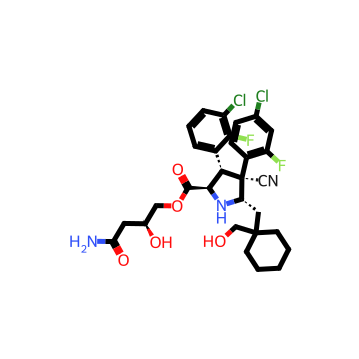 N#C[C@]1(c2ccc(Cl)cc2F)[C@H](CC2(CO)CCCCC2)N[C@@H](C(=O)OC[C@@H](O)CC(N)=O)[C@@H]1c1cccc(Cl)c1F